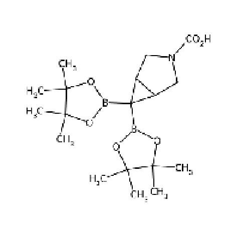 CC1(C)OB(C2(B3OC(C)(C)C(C)(C)O3)C3CN(C(=O)O)CC32)OC1(C)C